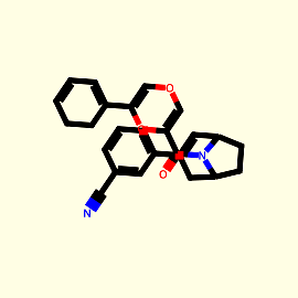 N#Cc1cccc(C2=CC3CCC(C2)N3C(=O)C2=COC=C(C3=CC=CCC3)O2)c1